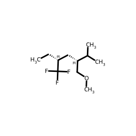 CC[C@H](C[C@@H](COC)C(C)C)C(F)(F)F